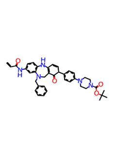 C=CC(=O)Nc1ccc2c(c1)N(Cc1ccccc1)CC1=C(C=CC(c3ccc(N4CCN(C(=O)OC(C)(C)C)CC4)cc3)C1=O)N2